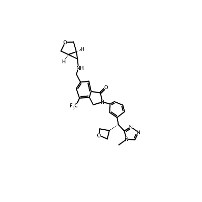 Cn1cnnc1[C@@H](c1cccc(N2Cc3c(cc(CNC4[C@H]5COC[C@@H]45)cc3C(F)(F)F)C2=O)c1)C1COC1